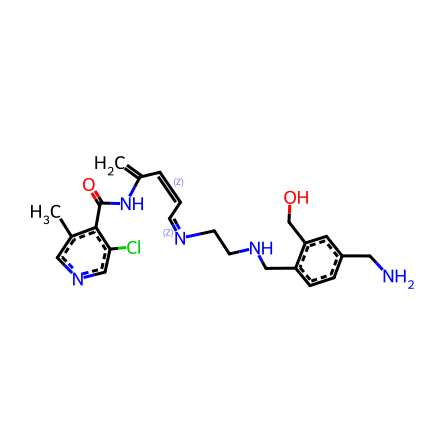 C=C(/C=C\C=N/CCNCc1ccc(CN)cc1CO)NC(=O)c1c(C)cncc1Cl